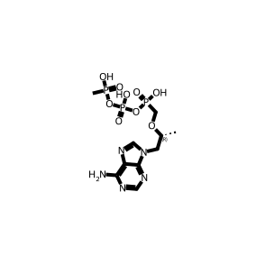 C[C@H](Cn1cnc2c(N)ncnc21)OCP(=O)(O)OP(=O)(O)OP(C)(=O)O